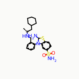 C[C@@H](CC1CCCCC1)NCc1ccccc1N1c2cc(S(N)(=O)=O)ccc2SC1N